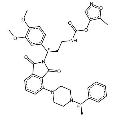 COc1ccc([C@@H](CCNC(=O)Oc2cnoc2C)N2C(=O)c3cccc(N4CCN([C@H](C)c5ccccc5)CC4)c3C2=O)cc1OC